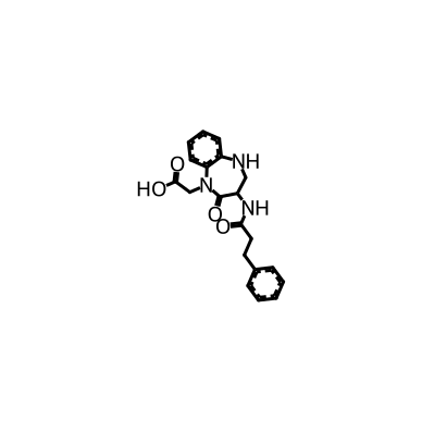 O=C(O)CN1C(=O)C(NC(=O)CCc2ccccc2)CNc2ccccc21